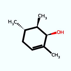 CC1=CC[C@H](C)[C@@H](C)[C@H]1O